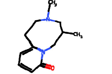 CC1CN(C)CCc2cccc(=O)n2C1